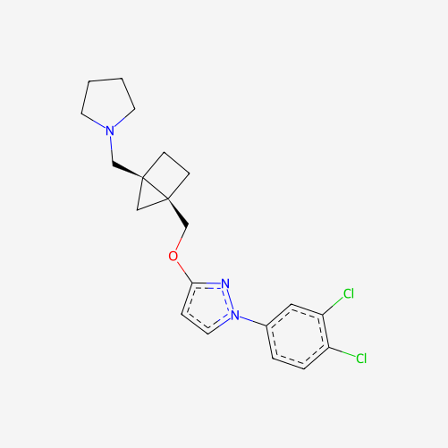 Clc1ccc(-n2ccc(OC[C@]34CC[C@@]3(CN3CCCC3)C4)n2)cc1Cl